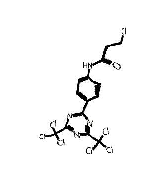 O=C(CCCl)Nc1ccc(-c2nc(C(Cl)(Cl)Cl)nc(C(Cl)(Cl)Cl)n2)cc1